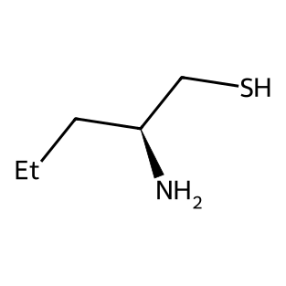 CCC[C@H](N)CS